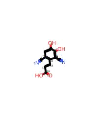 N#Cc1cc(O)c(O)c(C#N)c1C=CC(=O)O